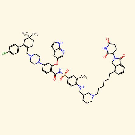 CC1(C)CCC(CN2CCN(c3ccc(C(=O)NS(=O)(=O)c4ccc(NCC5CCCN(CCCCCCc6cccc7c6CN(C6CCC(=O)NC6=O)C7=O)C5)c([N+](=O)[O-])c4)c(Oc4cnc5[nH]ccc5c4)c3)CC2)=C(c2ccc(Cl)cc2)C1